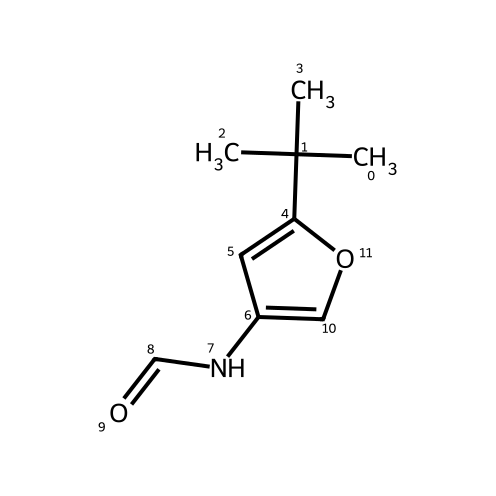 CC(C)(C)c1cc(NC=O)co1